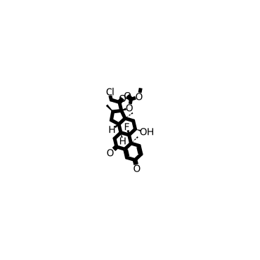 COC(=O)O[C@]1(C(=O)CCl)[C@H](C)C[C@H]2[C@@H]3CC(=O)C4=CC(=O)C=C[C@]4(C)[C@@]3(F)[C@@H](O)C[C@@]21C